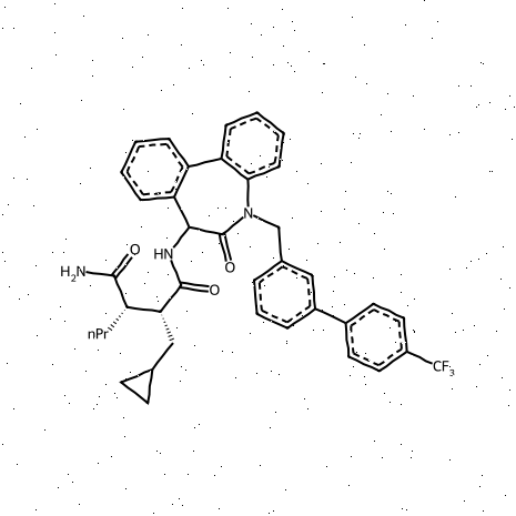 CCC[C@H](C(N)=O)[C@@H](CC1CC1)C(=O)NC1C(=O)N(Cc2cccc(-c3ccc(C(F)(F)F)cc3)c2)c2ccccc2-c2ccccc21